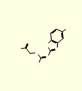 COC(=O)CNC(N)=Nc1nc2cc(O)ccc2o1